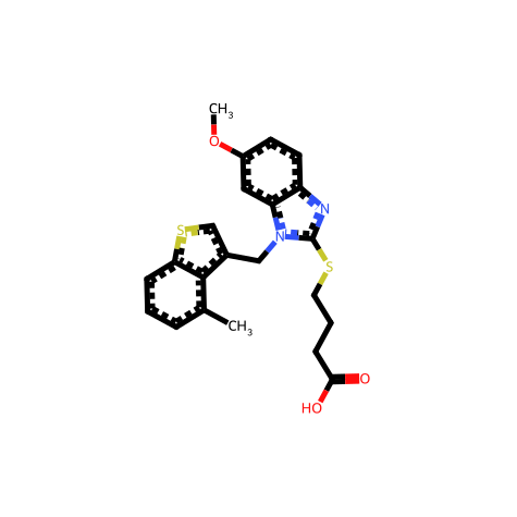 COc1ccc2nc(SCCCC(=O)O)n(Cc3csc4cccc(C)c34)c2c1